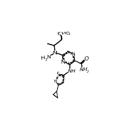 CC(CC=O)N(N)c1cnc(C(N)=O)c(Nc2cc(C3CC3)ns2)n1